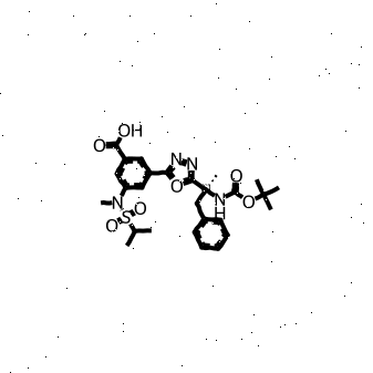 CC(C)S(=O)(=O)N(C)c1cc(C(=O)O)cc(-c2nnc([C@](C)(Cc3ccccc3)NC(=O)OC(C)(C)C)o2)c1